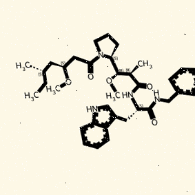 CC[C@H](C)C[C@@H](CC(=O)N1CCC[C@H]1[C@H](OC)[C@@H](C)C(=O)N[C@@H](Cc1c[nH]c2ccccc12)C(=O)NCc1ccccc1)OC